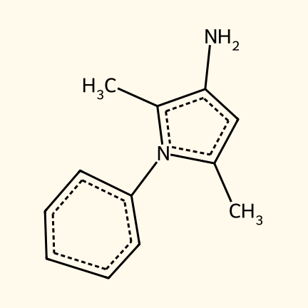 Cc1cc(N)c(C)n1-c1ccccc1